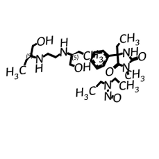 CCC1(c2ccccc2)NC(=O)N(C)C1=O.CCN(CC)N=O.CC[C@@H](CO)NCCN[C@@H](CC)CO